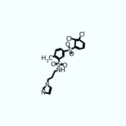 Cc1ccc(S(=O)(=O)c2cccc(Cl)c2Cl)cc1S(=O)(=O)NCCCn1ccnc1